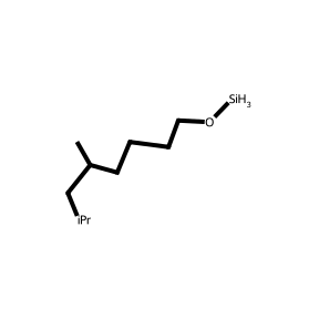 CC(C)CC(C)CCCCO[SiH3]